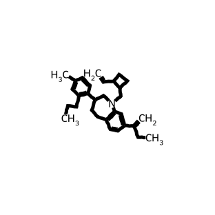 C=CC1CCC1CN1CC(c2ccc(C)cc2CCC)CCc2ccc(C(=C)CC)cc21